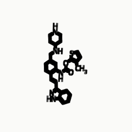 Cc1ccsc1OC(=O)Nc1cc(CNC2CCNCC2)ccc1/C=C/c1n[nH]c2ccccc12